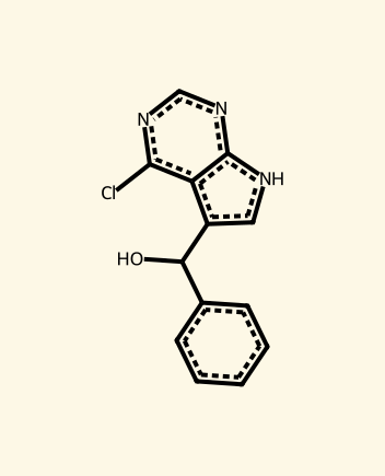 OC(c1ccccc1)c1c[nH]c2ncnc(Cl)c12